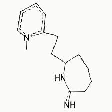 C[n+]1ccccc1CCC1CCCCC(=N)N1